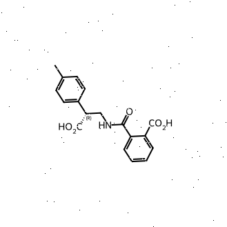 Cc1ccc([C@H](CNC(=O)c2ccccc2C(=O)O)C(=O)O)cc1